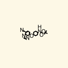 CC(C)(C)OC(=O)NC1CCC(Oc2ccc(C#N)c3nccnc23)CC1